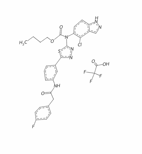 CCCCOC(=O)N(c1nnc(-c2cccc(NC(=O)Cc3ccc(F)cc3)c2)s1)c1ccc2[nH]ncc2c1Cl.O=C(O)C(F)(F)F